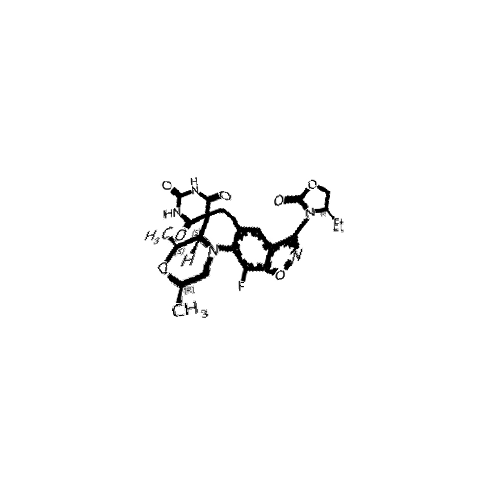 CC[C@@H]1COC(=O)N1c1noc2c(F)c3c(cc12)CC1(C(=O)NC(=O)NC1=O)[C@H]1[C@H](C)O[C@H](C)CN31